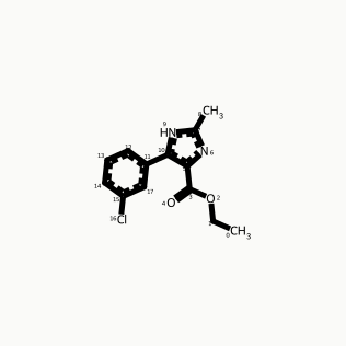 CCOC(=O)c1nc(C)[nH]c1-c1cccc(Cl)c1